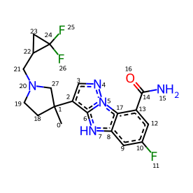 CC1(c2cnn3c2[nH]c2cc(F)cc(C(N)=O)c23)CCN(CC2CC2(F)F)C1